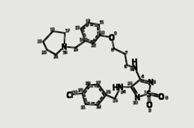 O=S1(=O)N=C(NCCCOc2cccc(CN3CCCCC3)c2)C(NCc2ccc(Cl)cc2)=N1